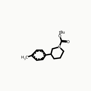 Cc1ccc(C2CCCN(C(=O)OC(C)(C)C)C2)cc1